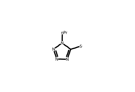 CCCn1nnnc1[S]